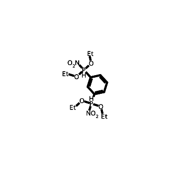 CCO[PH](OCC)(c1cccc([PH](OCC)(OCC)[N+](=O)[O-])c1)[N+](=O)[O-]